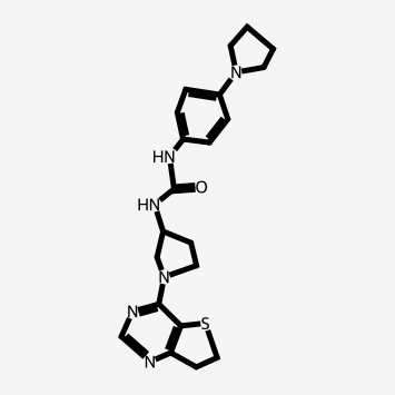 O=C(Nc1ccc(N2CCCC2)cc1)NC1CCN(c2ncnc3c2SCC3)C1